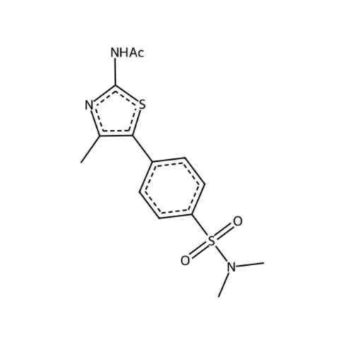 CC(=O)Nc1nc(C)c(-c2ccc(S(=O)(=O)N(C)C)cc2)s1